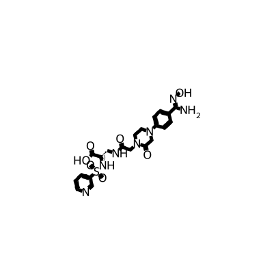 NC(=NO)c1ccc(N2CCN(CC(=O)NC[C@H](NS(=O)(=O)c3cccnc3)C(=O)O)C(=O)C2)cc1